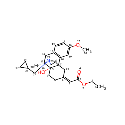 CCOC(=O)/C=C1/CC[C@@]2(O)[C@H]3Cc4ccc(OC)cc4C2(CCN3CC2CC2)C1